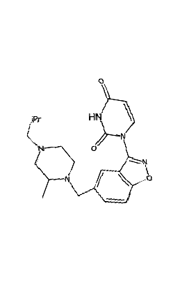 CC(C)CN1CCN(Cc2ccc3onc(-n4ccc(=O)[nH]c4=O)c3c2)C(C)C1